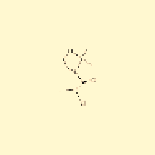 CC1(C)OCCN1C(=O)C(Cl)Cl